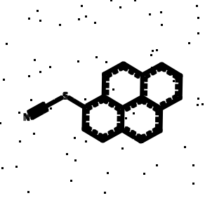 N#CSc1ccc2ccc3cccc4ccc1c2c34